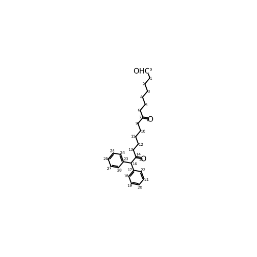 O=CCCCCCCC(=O)CCCCCC(=O)C(c1ccccc1)c1ccccc1